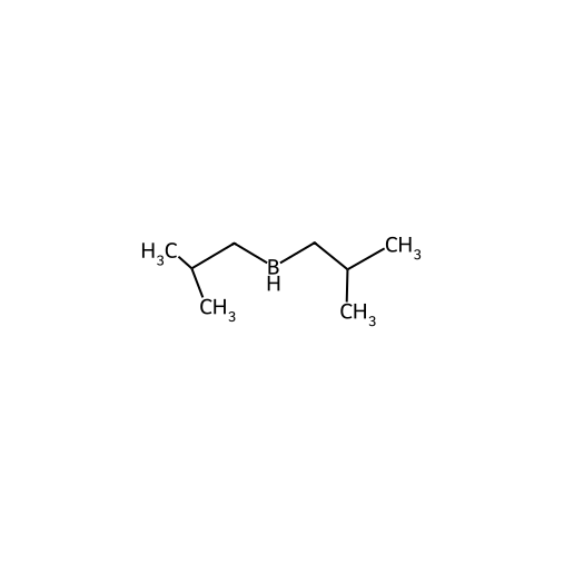 CC(C)CBCC(C)C